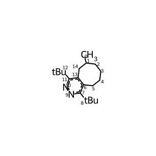 CC1CCCCc2c(C(C)(C)C)nnc(C(C)(C)C)c2C1